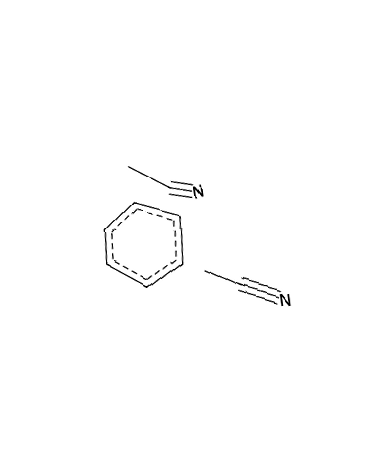 CC#N.CC#N.c1ccccc1